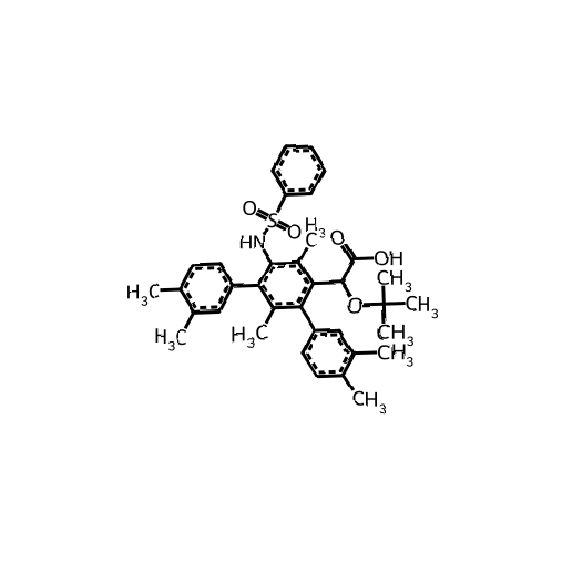 Cc1ccc(-c2c(C)c(-c3ccc(C)c(C)c3)c(C(OC(C)(C)C)C(=O)O)c(C)c2NS(=O)(=O)c2ccccc2)cc1C